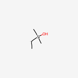 C[CH][Si](C)(C)O